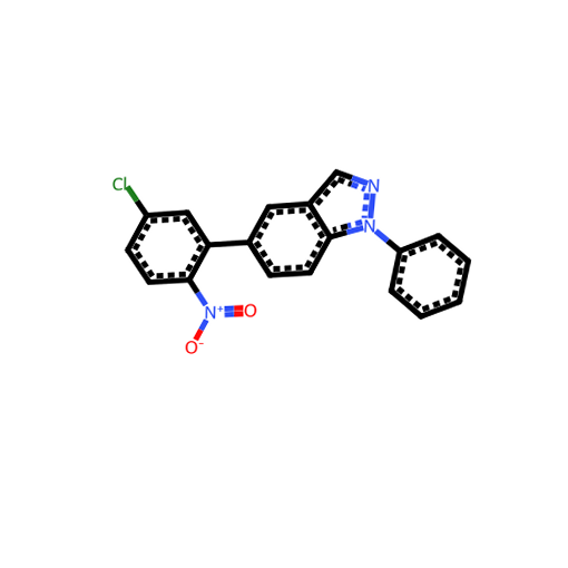 O=[N+]([O-])c1ccc(Cl)cc1-c1ccc2c(cnn2-c2ccccc2)c1